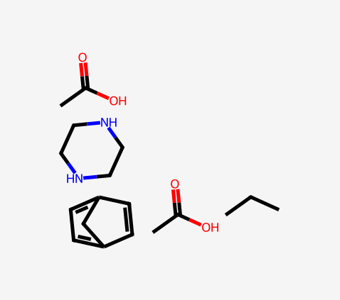 C1=CC2=CC=C1C2.C1CNCCN1.CC(=O)O.CC(=O)O.CCC